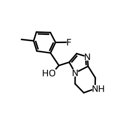 Cc1ccc(F)c(C(O)c2cnc3n2CCNC3)c1